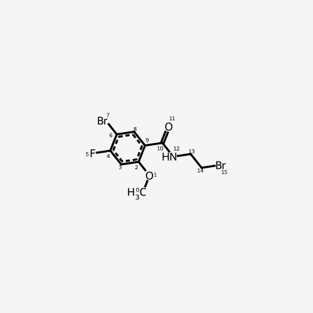 COc1cc(F)c(Br)cc1C(=O)NCCBr